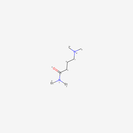 CCN(CC)C(=O)CCCN(C)C